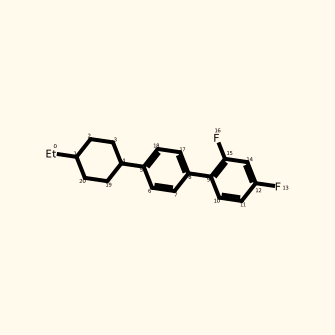 CCC1CCC(c2ccc(-c3ccc(F)cc3F)cc2)CC1